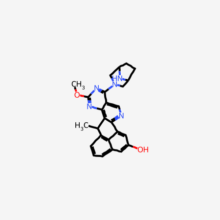 COc1nc(N2CC3CCC(C2)N3)c2cnc3c(c2n1)C(C)c1cccc2cc(O)cc-3c12